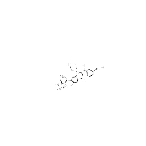 C#Cc1ccc2c(c1)[nH]c1c2c(=O)c2cc(CC(C)C)c(-c3cncc(S(=O)(=O)F)c3)cc2n1C1CCNCC1